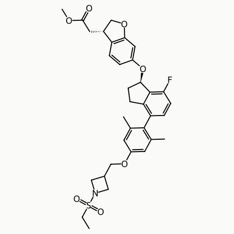 CCS(=O)(=O)N1CC(COc2cc(C)c(-c3ccc(F)c4c3CC[C@H]4Oc3ccc4c(c3)OC[C@H]4CC(=O)OC)c(C)c2)C1